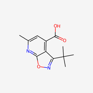 Cc1cc(C(=O)O)c2c(C(C)(C)C)noc2n1